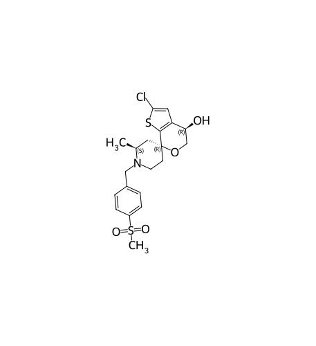 C[C@H]1C[C@@]2(CCN1Cc1ccc(S(C)(=O)=O)cc1)OC[C@H](O)c1cc(Cl)sc12